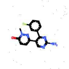 Cn1nc(-c2cnc(N)nc2-c2cccc(F)c2)ccc1=O